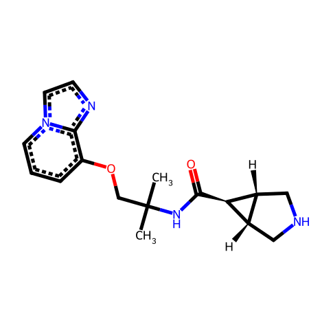 CC(C)(COc1cccn2ccnc12)NC(=O)[C@H]1[C@@H]2CNC[C@@H]21